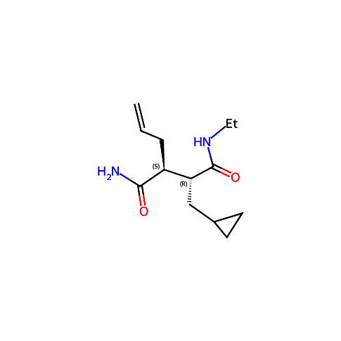 C=CC[C@H](C(N)=O)[C@@H](CC1CC1)C(=O)NCC